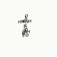 N=Nc1cc(C=O)ccc1NCCCN1CCC(OC(=O)Nc2ncsc2-c2ccccc2)CC1